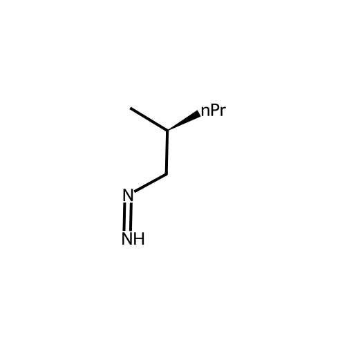 CCC[C@H](C)CN=N